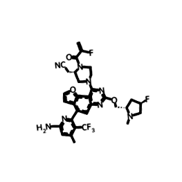 C=C(F)C(=O)N1CCN(c2nc(OC[C@@H]3C[C@@H](F)CN3C)nc3cc(-c4nc(N)cc(C)c4C(F)(F)F)c4ccoc4c23)C[C@@H]1CC#N